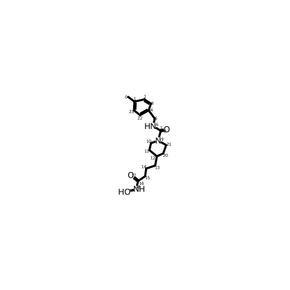 Cc1ccc(CNC(=O)N2CCC(CCCC(=O)NO)CC2)cc1